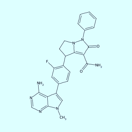 Cn1cc(-c2ccc(C3CCn4c3c(C(N)=O)c(=O)n4-c3ccccc3)c(F)c2)c2c(N)ncnc21